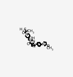 CO[C@H]1CCN(c2ccc(-n3ncc4c(=O)n(CC5(O)CCN(C(=O)N(C)C)CC5)cnc43)cc2)C1